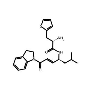 CC(C)C[C@@H](/C=C/C(=O)N1CCc2ccccc21)NC(=O)[C@@H](N)Cc1cccs1